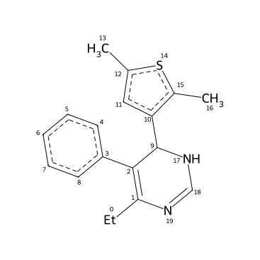 CCC1=C(c2ccccc2)C(c2cc(C)sc2C)NC=N1